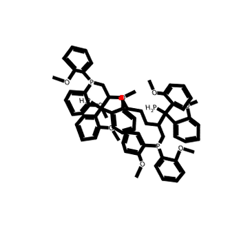 COc1ccccc1P(CC(CCCCC(CP(c1ccccc1OC)c1ccccc1OC)C(P)(c1ccccc1OC)c1ccccc1OC)C(P)(c1ccccc1OC)c1ccccc1OC)c1ccccc1OC